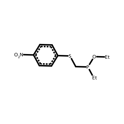 CCOP(CC)CSc1ccc([N+](=O)[O-])cc1